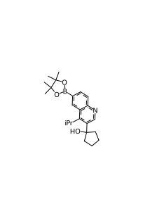 CC(C)c1c(C2(O)CCCC2)cnc2ccc(B3OC(C)(C)C(C)(C)O3)cc12